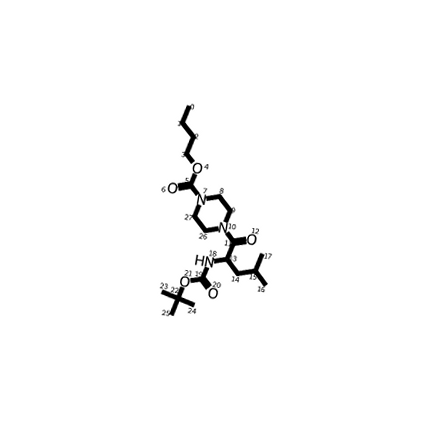 CCCCOC(=O)N1CCN(C(=O)C(CC(C)C)NC(=O)OC(C)(C)C)CC1